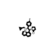 O=C1CCCN1[C@@H](c1cccc2cccnc12)[C@H](OCC1CC1)c1ccc(F)cc1